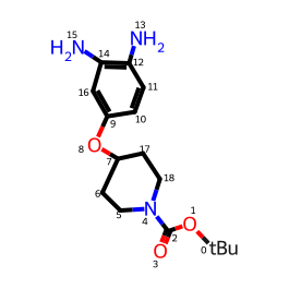 CC(C)(C)OC(=O)N1CCC(Oc2ccc(N)c(N)c2)CC1